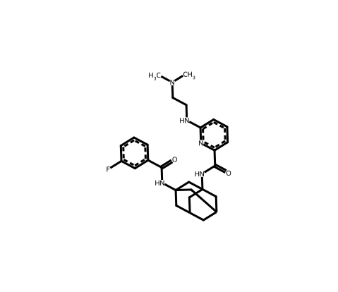 CN(C)CCNc1cccc(C(=O)NC23CC4CC(CC(NC(=O)c5cccc(F)c5)(C4)C2)C3)n1